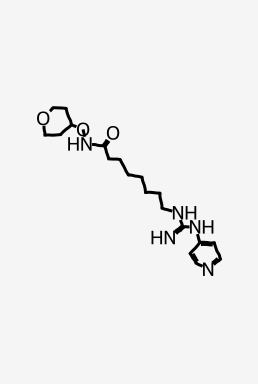 N=C(NCCCCCCCC(=O)NOC1CCOCC1)Nc1ccncc1